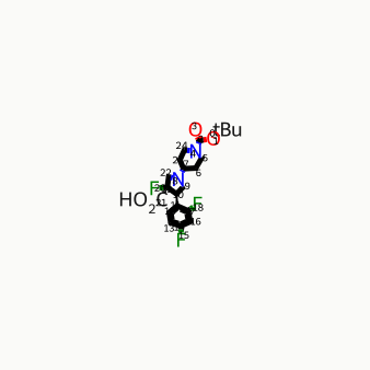 CC(C)(C)OC(=O)N1CCC(N2C[C@@H](c3ccc(F)cc3F)[C@](F)(C(=O)O)C2)CC1